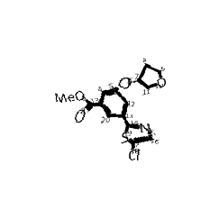 COC(=O)c1cc(O[C@@H]2CCOC2)cc(-c2ncc(Cl)s2)c1